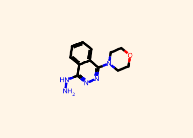 NNc1nnc(N2CCOCC2)c2ccccc12